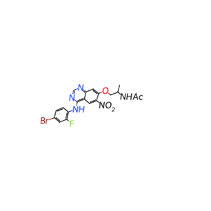 CC(=O)NC(C)COc1cc2ncnc(Nc3ccc(Br)cc3F)c2cc1[N+](=O)[O-]